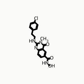 Cn1c(NCCc2ccc(Cl)cc2)nc2ccc(C(=O)NO)cc2c1=O